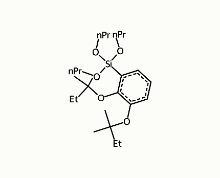 CCCO[Si](OCCC)(OCCC)c1cccc(OC(C)(C)CC)c1OC(C)(C)CC